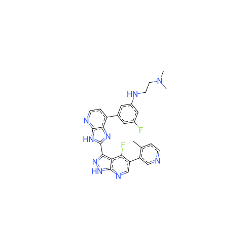 Cc1ccncc1-c1cnc2[nH]nc(-c3nc4c(-c5cc(F)cc(NCCN(C)C)c5)ccnc4[nH]3)c2c1F